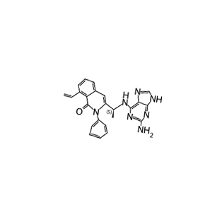 C=Cc1cccc2cc([C@H](C)Nc3nc(N)nc4[nH]cnc34)n(-c3ccccc3)c(=O)c12